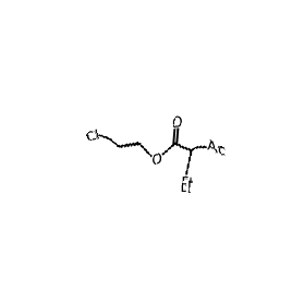 CCC(C(C)=O)C(=O)OCCCl